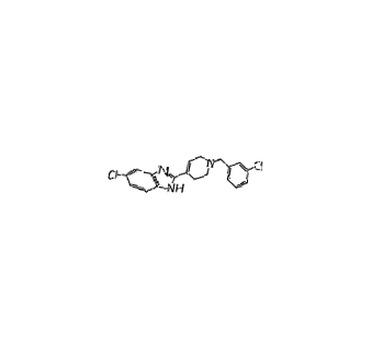 Clc1cccc(CN2CC=C(c3nc4cc(Cl)ccc4[nH]3)CC2)c1